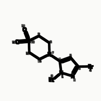 CCn1nc(Br)cc1N1CCS(=O)(=O)CC1